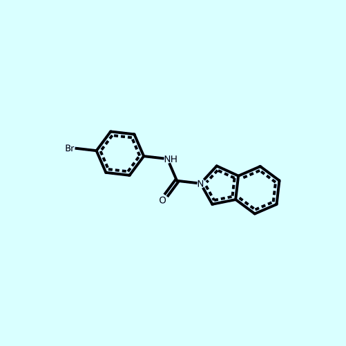 O=C(Nc1ccc(Br)cc1)n1cc2ccccc2c1